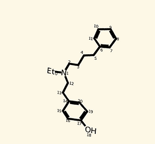 CCN(CCCCc1ccccc1)CCc1ccc(O)cc1